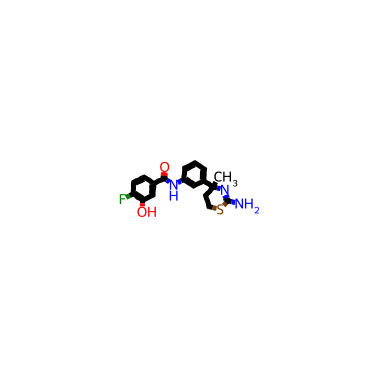 CC1(c2cccc(NC(=O)c3ccc(F)c(O)c3)c2)CCSC(N)=N1